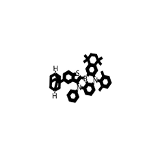 Cc1cccc(C)c1N1c2cc3c(cc2B2c4sc5ccc(C67CC8C[C@H](C6)C[C@@H](C8)C7)cc5c4N(c4ccccc4)c4cccc1c42)C(C)(C)CCC3(C)C